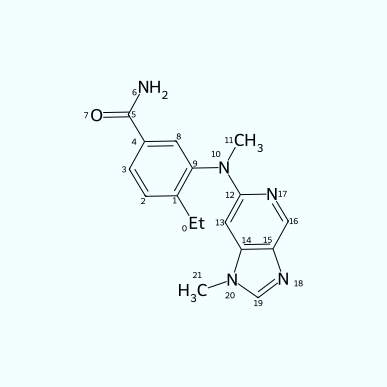 CCc1ccc(C(N)=O)cc1N(C)c1cc2c(cn1)ncn2C